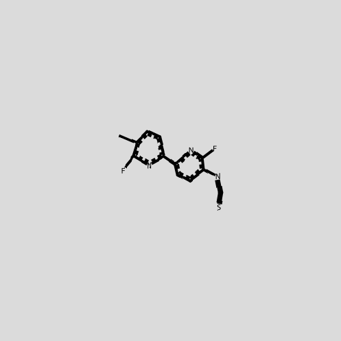 Cc1ccc(-c2ccc(N=C=S)c(F)n2)nc1F